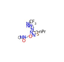 CCCc1cc2c(N3CCn4c(nnc4C(F)(F)F)C3)nc(OCCNC(=O)C3CCCC3)nc2s1